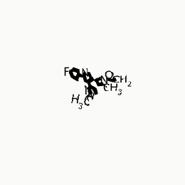 C=CC(=O)N1C[C@H](c2cnc(-c3ccc(F)cc3)cc2-c2ccn(C)n2)C[C@@H]1C